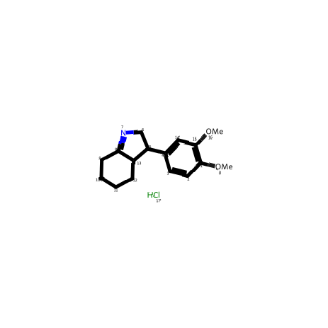 COc1ccc(C2CN=C3CCCCC32)cc1OC.Cl